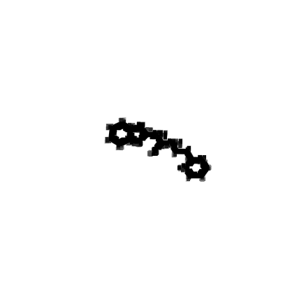 S=C(NCCc1ncccn1)Nc1nc2ccccc2s1